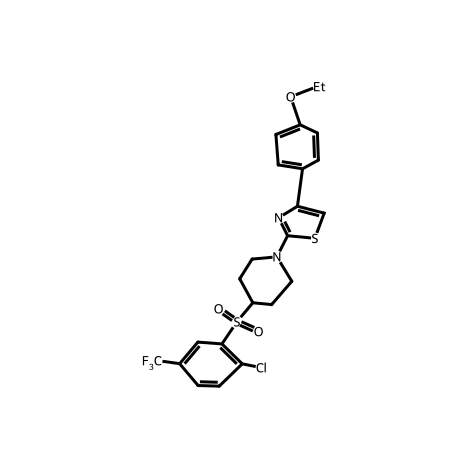 CCOc1ccc(-c2csc(N3CCC(S(=O)(=O)c4cc(C(F)(F)F)ccc4Cl)CC3)n2)cc1